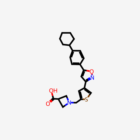 O=C(O)C1CN(Cc2cc(-c3cc(-c4ccc(C5CCCCC5)cc4)on3)cs2)C1